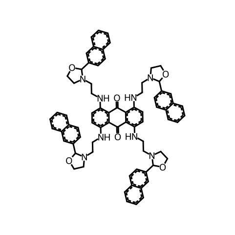 O=C1c2c(NCCN3CCOC3c3ccc4ccccc4c3)ccc(NCCN3CCOC3c3ccc4ccccc4c3)c2C(=O)c2c(NCCN3CCOC3c3ccc4ccccc4c3)ccc(NCCN3CCOC3c3ccc4ccccc4c3)c21